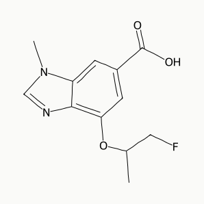 CC(CF)Oc1cc(C(=O)O)cc2c1ncn2C